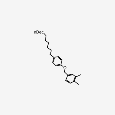 CCCCCCCCCCCCCC/N=C/c1ccc(OCc2ccc(C)c(C)c2)cc1